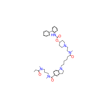 CCC(=O)N(C)CCCN(C)C(=O)c1ccc2c(c1)CCN2CCCCCC(=O)N(C)CCN1CCC(OC(=O)Nc2ccccc2-c2ccccc2)CC1